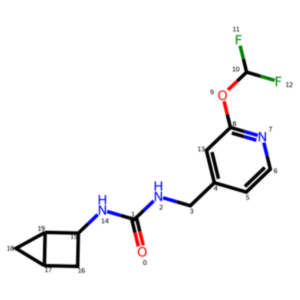 O=C(NCc1ccnc(OC(F)F)c1)NC1CC2CC21